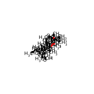 CC=CC[C@@H](C)[C@@H](O)[C@@H](C(=O)N[C@H](C(=O)N(C)CC(=O)O)[C@@H](C)O)N(C)C(=O)[C@H](C(C)C)N(C)C(=O)[C@H](CC(C)C)NC(=O)[C@H](CC(C)C)N(C)C(=O)[C@@H](C)NC(=O)[C@H](C)NC(=O)[C@H](CC(C)C)N(C)C(=O)[C@H](CC(C)C)NC(=O)[C@H](CC(C)C)NCC